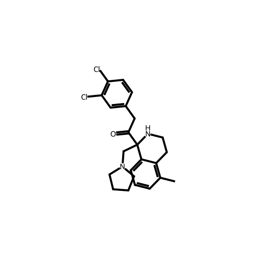 Cc1cccc2c1CCNC2(CN1CCCC1)C(=O)Cc1ccc(Cl)c(Cl)c1